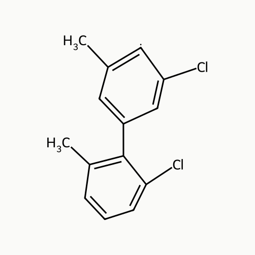 Cc1[c]c(Cl)cc(-c2c(C)cccc2Cl)c1